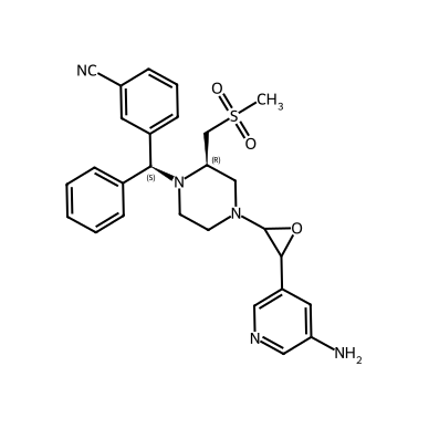 CS(=O)(=O)C[C@H]1CN(C2OC2c2cncc(N)c2)CCN1[C@@H](c1ccccc1)c1cccc(C#N)c1